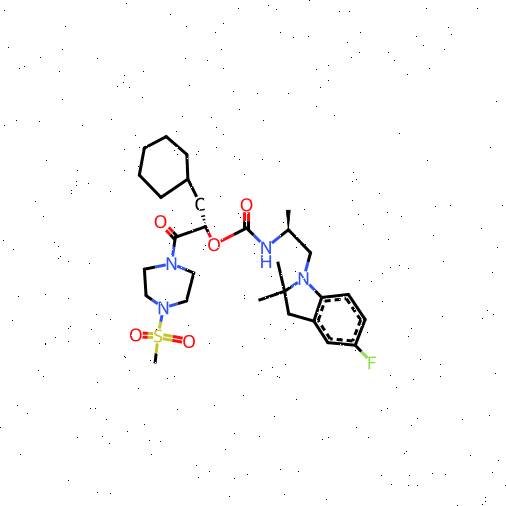 C[C@@H](CN1c2ccc(F)cc2CC1(C)C)NC(=O)O[C@@H](CC1CCCCC1)C(=O)N1CCN(S(C)(=O)=O)CC1